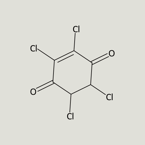 O=C1C(Cl)=C(Cl)C(=O)C(Cl)C1Cl